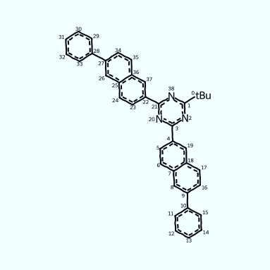 CC(C)(C)c1nc(-c2ccc3cc(-c4ccccc4)ccc3c2)nc(-c2ccc3cc(-c4ccccc4)ccc3c2)n1